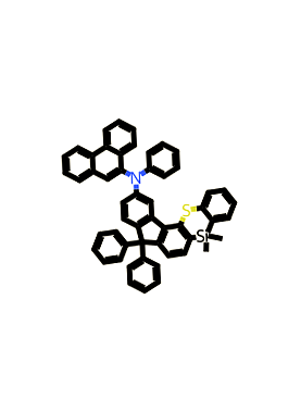 C[Si]1(C)c2ccccc2Sc2c1ccc1c2-c2cc(N(c3ccccc3)c3cc4ccccc4c4ccccc34)ccc2C1(c1ccccc1)c1ccccc1